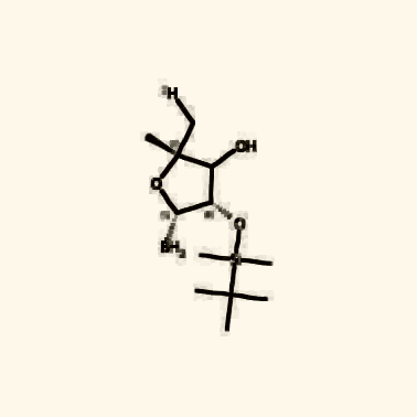 [2H]C[C@@]1(C)O[C@@H](B)[C@@H](O[Si](C)(C)C(C)(C)C)C1O